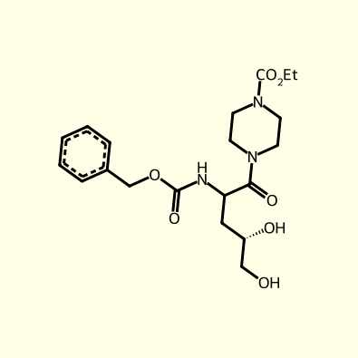 CCOC(=O)N1CCN(C(=O)C(C[C@H](O)CO)NC(=O)OCc2ccccc2)CC1